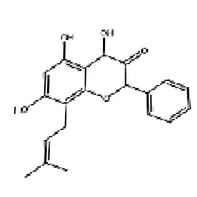 CC(C)=CCc1c(O)cc(O)c2c1OC(c1ccccc1)C(=O)C2O